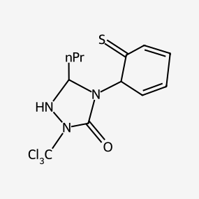 CCCC1NN(C(Cl)(Cl)Cl)C(=O)N1C1C=CC=CC1=S